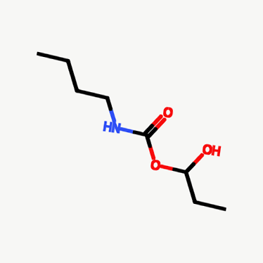 CCCCNC(=O)OC(O)CC